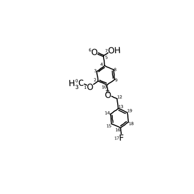 COc1cc(C(=O)O)ccc1OCc1ccc(F)cc1